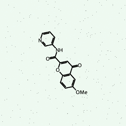 COc1ccc2oc(C(=O)Nc3cccnc3)cc(=O)c2c1